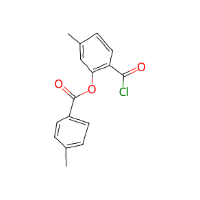 Cc1ccc(C(=O)Oc2cc(C)ccc2C(=O)Cl)cc1